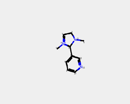 CN1CC=[N+](C)C1c1cccnc1